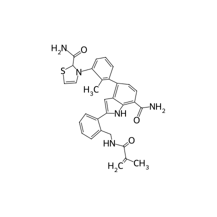 C=C(C)C(=O)NCc1ccccc1-c1cc2c(-c3cccc(N4C=CSC4C(N)=O)c3C)ccc(C(N)=O)c2[nH]1